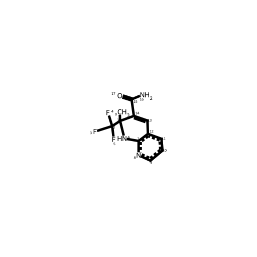 CC1(C(F)(F)F)Nc2ncccc2C=C1C(N)=O